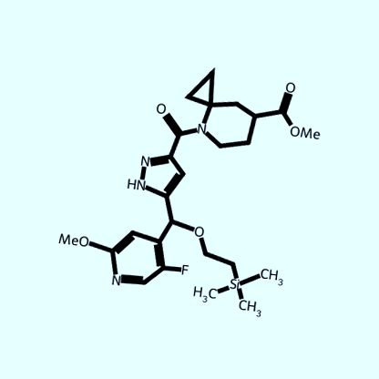 COC(=O)C1CCN(C(=O)c2cc(C(OCC[Si](C)(C)C)c3cc(OC)ncc3F)[nH]n2)C2(CC2)C1